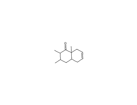 CC1CC2CC=CCC2(C)C(=O)C1C